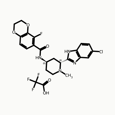 CN1CC[C@@H](NC(=O)c2ccc3c(c2F)OCCO3)C[C@@H]1c1nc2cc(Cl)ccc2[nH]1.O=C(O)C(F)(F)F